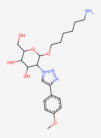 COc1ccc(-c2cn(C3C(OCCCCCCN)OC(CO)C(O)C3O)nn2)cc1